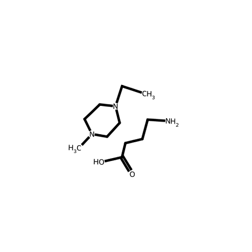 CCN1CCN(C)CC1.NCCCC(=O)O